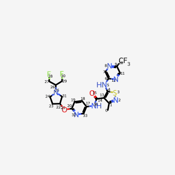 Cc1nsc(Nc2cnc(C(F)(F)F)cn2)c1C(=O)Nc1ccc(OC2CCN(C(CF)CF)C2)nc1